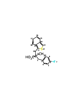 CC(Cc1ccc(F)cc1)(Cc1scc2ccccc12)C(=O)O